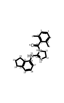 Cc1cccc(C)c1C(=O)N1CCN=C1Nc1cccc2c1CCC2